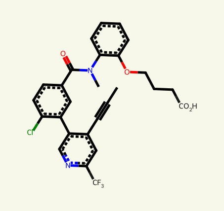 CC#Cc1cc(C(F)(F)F)ncc1-c1cc(C(=O)N(C)c2ccccc2OCCCC(=O)O)ccc1Cl